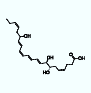 CC/C=C\C[C@@H](O)/C=C/C=C\C=C\C=C\[C@@H](O)[C@@H](O)C/C=C\CCC(=O)O